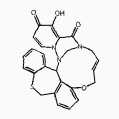 O=C1c2c(O)c(=O)ccn2N2CN1C/C=C/COc1cccc3c1C2c1ccccc1SC3